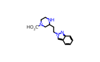 O=C(O)N1CCNC(CCn2cc3ccccc3n2)C1